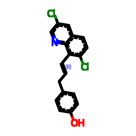 Oc1ccc(C/C=C/c2c(Cl)ccc3cc(Cl)cnc23)cc1